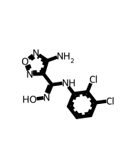 Nc1nonc1/C(=N\O)Nc1cccc(Cl)c1Cl